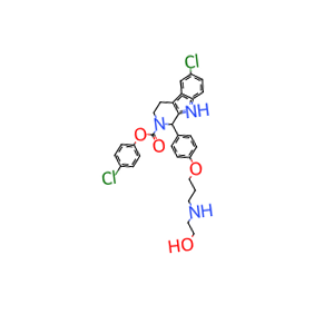 O=C(Oc1ccc(Cl)cc1)N1CCc2c([nH]c3ccc(Cl)cc23)C1c1ccc(OCCCNCCO)cc1